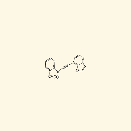 O=Cc1ccccc1C(=O)C#Cc1cccc2ccoc12